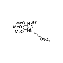 COc1cc2c(NCCCCCO[N+](=O)[O-])nc(C(C)C)nc2c(OC)c1OC